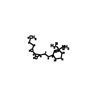 CCCOC1O[C@@H]1CCC1CCC[C@@](C)(N)C1